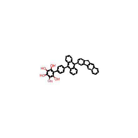 Oc1c(O)c(O)c(-c2ccc(-c3c4ccccc4c(-c4ccc5c(c4)-c4cc6ccccc6cc4C5)c4ccccc34)cc2)c(O)c1O